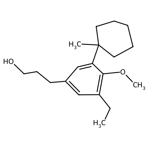 CCc1cc(CCCO)cc(C2(C)CCCCC2)c1OC